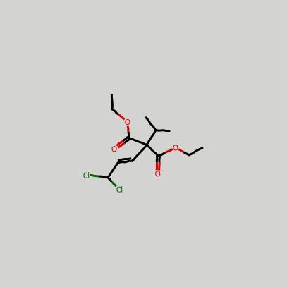 CCOC(=O)C(C=CC(Cl)Cl)(C(=O)OCC)C(C)C